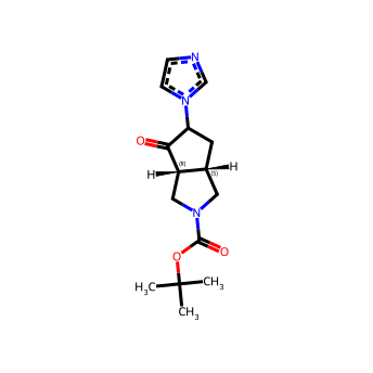 CC(C)(C)OC(=O)N1C[C@H]2CC(n3ccnc3)C(=O)[C@H]2C1